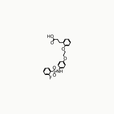 O=C(O)CCc1ccccc1OCCOc1ccc(NS(=O)(=O)c2ccccc2F)cc1